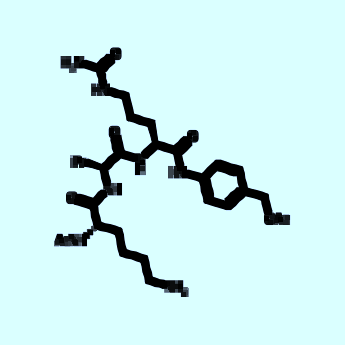 CC(=O)N[C@@H](CCCCN)C(=O)N[C@H](C(=O)N[C@@H](CCCNC(N)=O)C(=O)Nc1ccc(COC(C)=O)cc1)C(C)C